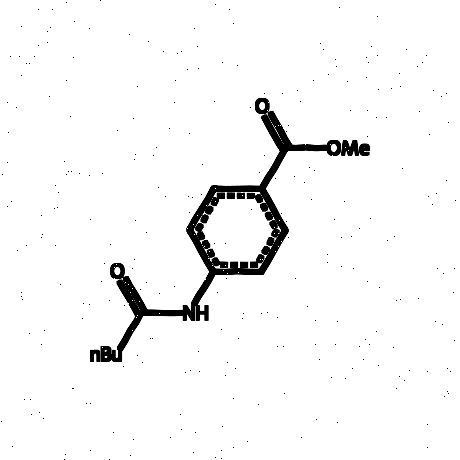 CCCCC(=O)Nc1ccc(C(=O)OC)cc1